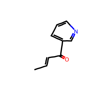 CC=CC(=O)c1cccnc1